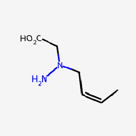 C/C=C\CN(N)CC(=O)O